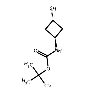 CC(C)(C)OC(=O)N[C@H]1C[C@H](S)C1